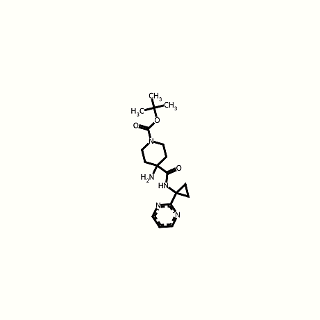 CC(C)(C)OC(=O)N1CCC(N)(C(=O)NC2(c3ncccn3)CC2)CC1